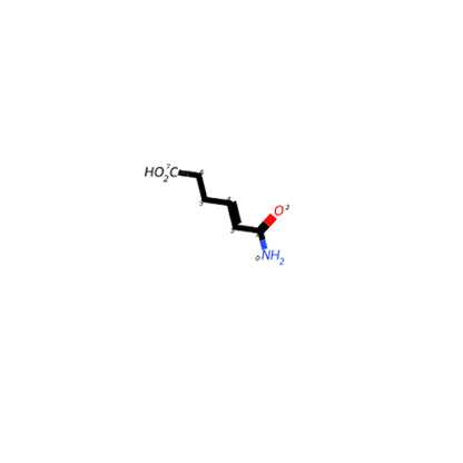 NC(=O)/C=C/CCC(=O)O